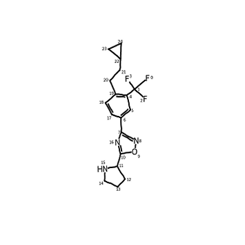 FC(F)(F)c1cc(-c2noc(C3CCCN3)n2)ccc1CCC1CC1